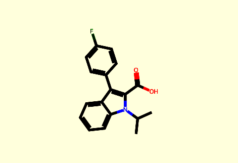 CC(C)n1c(C(=O)O)c(-c2ccc(F)cc2)c2ccccc21